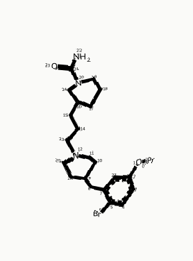 CC(C)Oc1ccc(Br)c(CC2CCN(CCCC3CCCN(C(N)=O)C3)CC2)c1